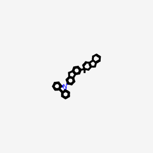 CC1(c2ccc3c(c2)-c2ccc(-n4c5ccccc5c5ccccc54)cc2C3)C=CC2=C(CC3=CC=CCC32)C1